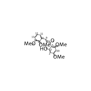 COc1cc(O)c(C(=O)/C=C/c2cccc(OC)c2OC)c(OC)c1